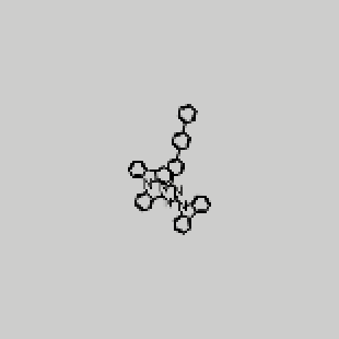 c1ccc(-c2ccc(-c3ccc(-c4nc(-c5ccccc5-n5c6ccccc6c6ccccc65)nc(-n5c6ccccc6c6ccccc65)n4)cc3)cc2)cc1